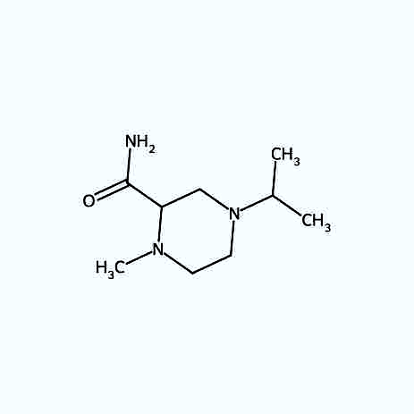 CC(C)N1CCN(C)C(C(N)=O)C1